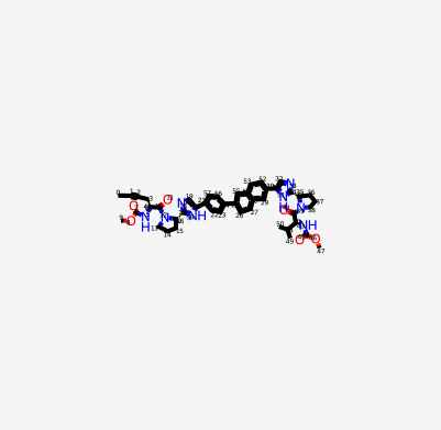 CC#CC[C@H](NC(=O)OC)C(=O)N1CCC[C@H]1c1ncc(-c2ccc(-c3ccc4cc(-c5cnc([C@@H]6CCCN6C(=O)[C@@H](NC(=O)OC)C(C)C)[nH]5)ccc4c3)cc2)[nH]1